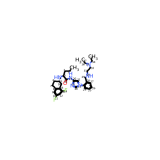 CCCC(N[C@H]1CCc2cc(F)cc(F)c2C1)C(=O)Nc1cn(-c2ccccc2CNCCN(CC)CC)cn1